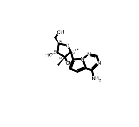 C[C@@]1(c2ccc3c(N)ncnn23)O[C@H](CO)[C@@H](O)[C@@]1(C)O